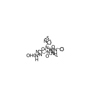 C=CCN1CC(=O)N2[C@@H](Cc3ccnc(NC=O)n3)C(=O)N(Cc3cccc4scnc34)C[C@@H]2N1C(=O)NCc1ccccc1